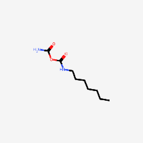 CCCCCCCNC(=O)OC(N)=O